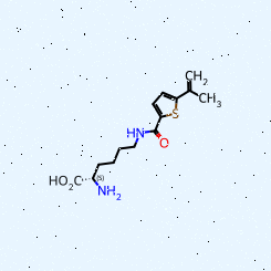 C=C(C)c1ccc(C(=O)NCCCC[C@H](N)C(=O)O)s1